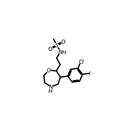 CS(=O)(=O)NCCC1OCCNCC1c1ccc(I)c(Cl)c1